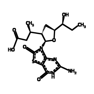 CC[C@H](O)[C@@H]1C[C@@H]([C@H](C)CC(=O)O)[C@H](n2c(=O)sc3c(=O)[nH]c(N)nc32)O1